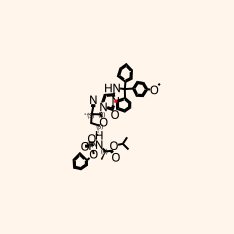 COc1ccc(C(Nc2ccn([C@@H]3O[C@H](CO[P@](=O)(N[C@H](C)C(=O)OC(C)C)Oc4ccccc4)C[C@@]3(C)C#N)c(=O)n2)(c2ccccc2)c2ccccc2)cc1